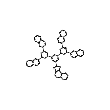 c1ccc2cc(-c3cc(-c4cc(-c5cc(-c6ccc7ccccc7c6)nc(-c6ccc7ccccc7c6)c5)cc(-c5nc6c(ccc7ccccc76)o5)c4)cc(-c4ccc5ccccc5c4)n3)ccc2c1